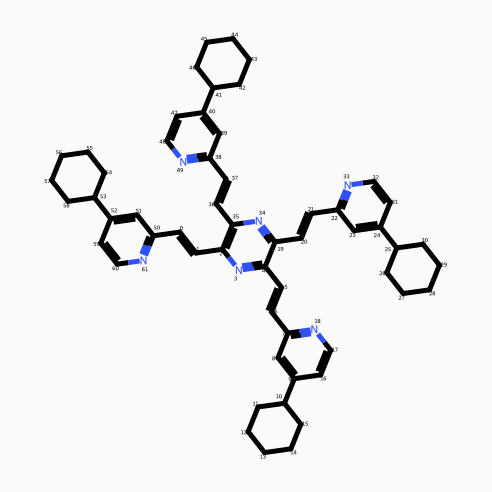 C(=Cc1nc(C=Cc2cc(C3CCCCC3)ccn2)c(C=Cc2cc(C3CCCCC3)ccn2)nc1C=Cc1cc(C2CCCCC2)ccn1)c1cc(C2CCCCC2)ccn1